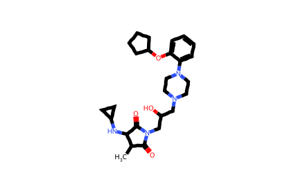 CC1C(=O)N(CC(O)CN2CCN(c3ccccc3OC3CCCC3)CC2)C(=O)C1NC1CC1